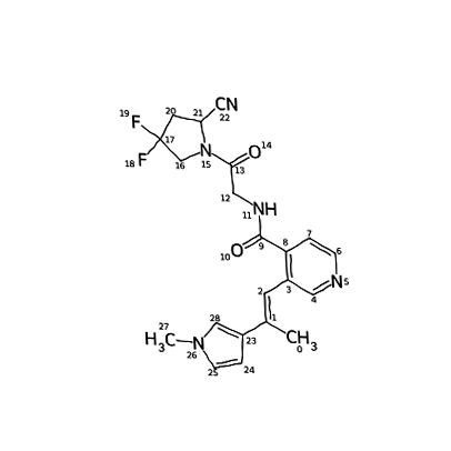 CC(=Cc1cnccc1C(=O)NCC(=O)N1CC(F)(F)CC1C#N)c1ccn(C)c1